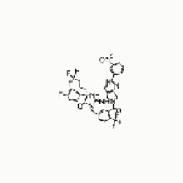 C[S+]([O-])c1cccc(-c2ncc3c(n2)CN(C(=O)c2cc(CN4C(=N)N[C@](CCCC(F)(F)F)(c5ccc(F)cc5)C4=O)ccc2C(F)(F)F)C3)c1